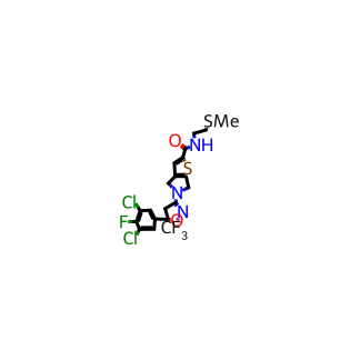 CSCCNC(=O)c1cc2c(s1)CN(C1=NOC(c3cc(Cl)c(F)c(Cl)c3)(C(F)(F)F)C1)C2